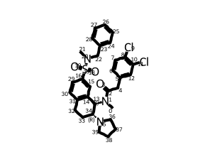 CN(C(=O)Cc1ccc(Cl)c(Cl)c1)[C@@H]1c2cc(S(=O)(=O)N(C)Cc3ccccc3)ccc2CC[C@H]1N1CCCC1